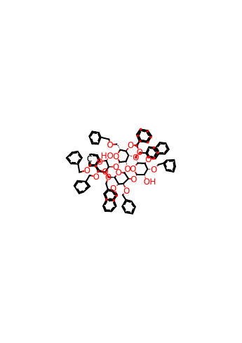 O[C@@H]1[C@H](O[C@@H]2[C@H](O[C@@H]3[C@H](O[C@H]4[C@@H](OCc5ccccc5)[C@H](OCc5ccccc5)[C@@H](COCc5ccccc5)O[C@@H]4O)O[C@H](COCc4ccccc4)[C@@H](OCc4ccccc4)[C@@H]3OCc3ccccc3)O[C@H](COCc3ccccc3)[C@@H](OCc3ccccc3)[C@@H]2OCc2ccccc2)O[C@H](COCc2ccccc2)[C@@H](OCc2ccccc2)[C@@H]1OCc1ccccc1